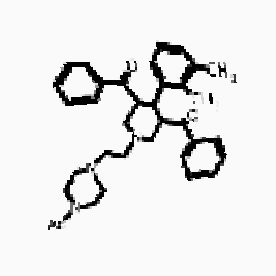 CC(=O)N1CCN(CCN2CC(C(=O)c3ccccc3)C(c3cccc(C)c3C)C(C(=O)c3ccccc3)C2)CC1